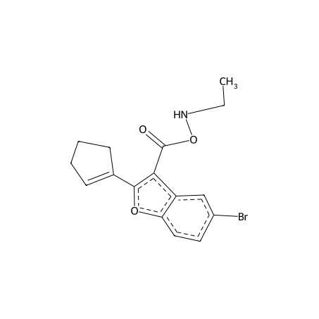 CCNOC(=O)c1c(C2=CCCC2)oc2ccc(Br)cc12